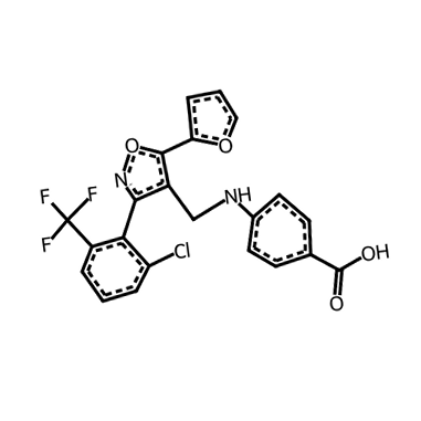 O=C(O)c1ccc(NCc2c(-c3c(Cl)cccc3C(F)(F)F)noc2-c2ccco2)cc1